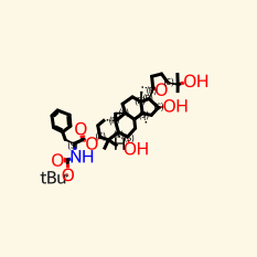 CC(C)(C)OC(=O)N[C@@H](Cc1ccccc1)C(=O)O[C@H]1CC[C@]23C[C@]24CC[C@]2(C)[C@@H]([C@@]5(C)CC[C@@H](C(C)(C)O)O5)[C@@H](O)C[C@@]2(C)C4C[C@H](O)[C@H]3C1(C)C